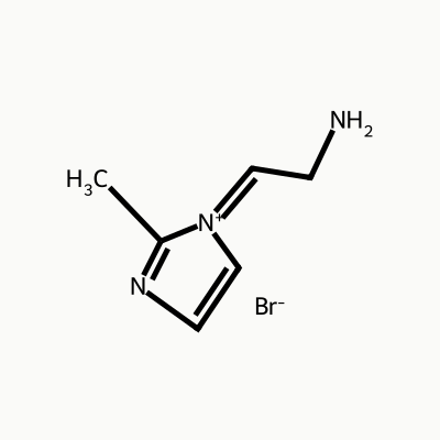 CC1=NC=C[N+]1=CCN.[Br-]